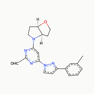 Cc1cccc(-c2ccn(-c3cc(N4CC[C@H]5OCC[C@H]54)nc(C=O)n3)n2)c1